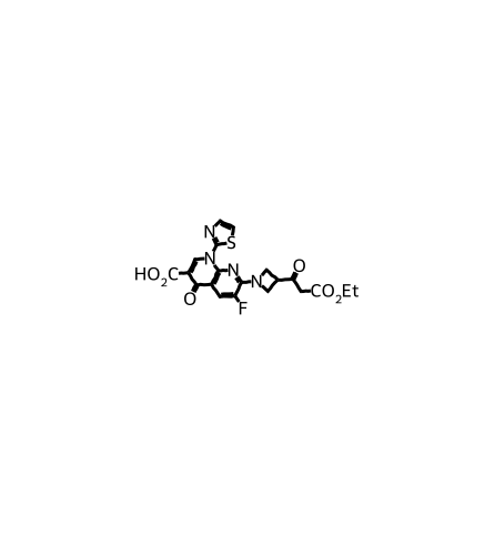 CCOC(=O)CC(=O)C1CN(c2nc3c(cc2F)c(=O)c(C(=O)O)cn3-c2nccs2)C1